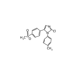 Cc1ccc(-n2c(-c3ccc(S(C)(=O)=O)cc3)cnc2Cl)cc1